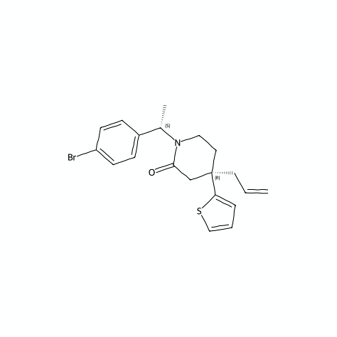 C=CC[C@@]1(c2cccs2)CCN([C@@H](C)c2ccc(Br)cc2)C(=O)C1